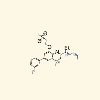 C/C=C\C=C(/CC)C1=C[C@H](C)C2C=C(c3cccc(F)c3)C=C(OCCS(C)(=O)=O)C2=N1